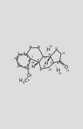 COc1cccc2c1[C@H]1CC[C@@H]3C(=O)CC[C@H]3[C@@H]1CC2